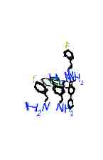 CC(N)c1ccc(-c2ccccc2)cc1.NCCc1ccc(Cl)c(C(F)(F)F)c1.NCCc1ccc(F)c(C(F)(F)F)c1.NCCc1ccc(F)cc1